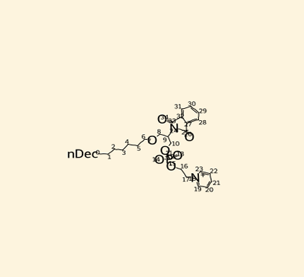 CCCCCCCCCCCCCCCCOCC(COP(=O)([O-])OCC[n+]1ccccc1)N1C(=O)c2ccccc2C1=O